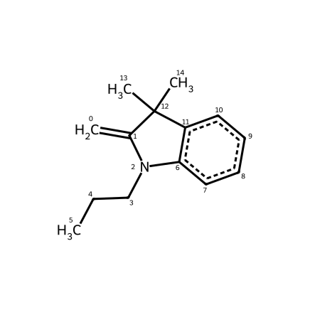 C=C1N(CCC)c2ccccc2C1(C)C